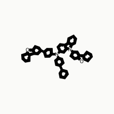 c1ccc(-c2ccc(N(c3ccc(-c4ccc5oc6ccccc6c5c4)cc3)c3ccc4c5ccccc5n(-c5ccc6oc7ccccc7c6c5)c4c3)cc2)cc1